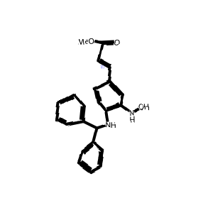 COC(=O)/C=C/c1ccc(NC(c2ccccc2)c2ccccc2)c(NO)c1